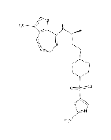 C[C@@H](CCC1CCN(S(=O)(=O)c2cnc(N)s2)CC1)NC1=NC=C=Cc2c(C(F)(F)F)csc21